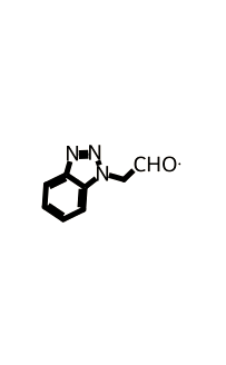 O=[C]Cn1nnc2ccccc21